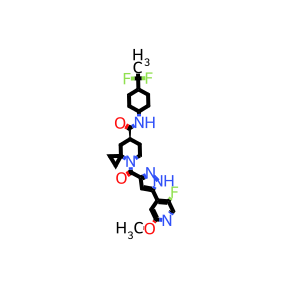 COc1cc(-c2cc(C(=O)N3CC[C@H](C(=O)NC4CCC(C(C)(F)F)CC4)CC34CC4)n[nH]2)c(F)cn1